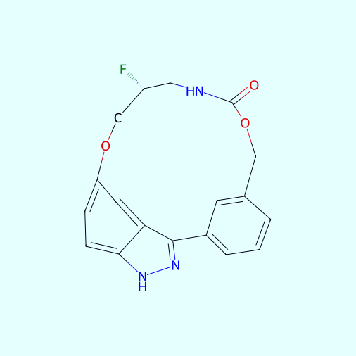 O=C1NC[C@@H](F)COc2ccc3[nH]nc(c3c2)-c2cccc(c2)CO1